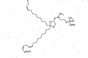 CCCCC/C=C\C/C=C\CCCCCCCCC1(CCCCCCCC/C=C\C/C=C\CCCCC)OC[C@H](CN(C)CCOP(C)(=O)OC)O1